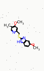 COc1ccc2[nH]c(SCc3cc(OC)c(C)cn3)nc2c1